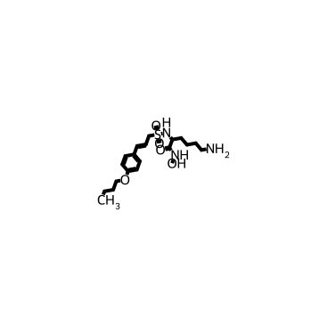 CCCCOc1ccc(C=CCS(=O)(=O)NC(CCCCN)C(=O)NO)cc1